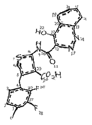 Cc1ccc(-c2csc(NC(=O)c3nnc4ccccc4c3O)c2C(=O)O)c(F)c1F